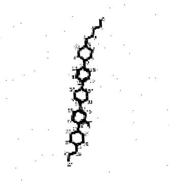 CCCCCC1CCC(c2ccc(C3CC=C(c4ccc(C5CCC(CCC)CC5)c(F)c4)CC3)cc2)CC1